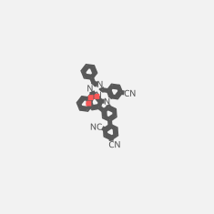 N#Cc1ccc(-c2ccc3c(c2)c2ccccc2n3-c2cc(C#N)ccc2-c2nc(-c3ccccc3)nc(-c3ccccc3)n2)c(C#N)c1